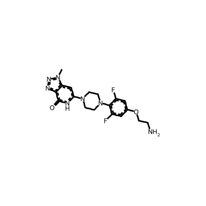 Cn1nnc2c(=O)[nH]c(N3CCN(c4c(F)cc(OCCN)cc4F)CC3)cc21